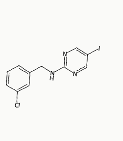 Clc1cccc(CNc2ncc(I)cn2)c1